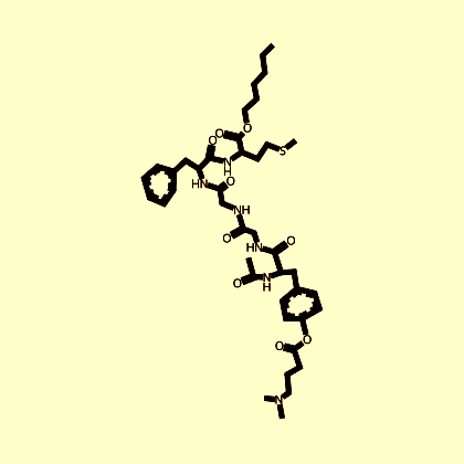 CCCCCCOC(=O)C(CCSC)NC(=O)C(Cc1ccccc1)NC(=O)CNC(=O)CNC(=O)C(Cc1ccc(OC(=O)CCCN(C)C)cc1)NC(C)=O